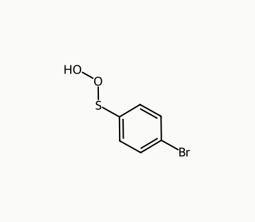 OOSc1ccc(Br)cc1